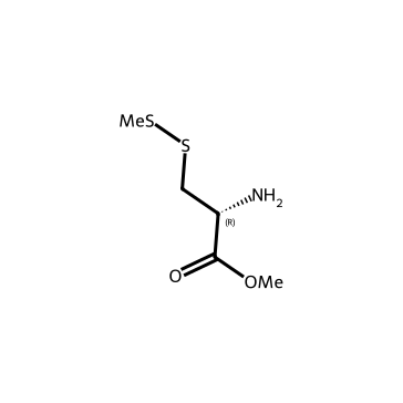 COC(=O)[C@@H](N)CSSC